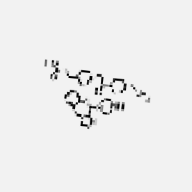 NC[C@H]1CC[C@H](C(=O)Oc2ccc(CCC(=O)O)cc2)CC1.c1ccc2c(c1)Cn1ccnc1C(N1CCNCC1)=N2